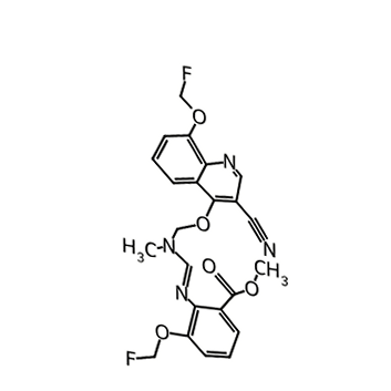 COC(=O)c1cccc(OCF)c1/N=C/N(C)COc1c(C#N)cnc2c(OCF)cccc12